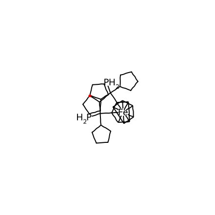 PC(C1CCCC1)(C1CCCC1)[C]12[CH]3[CH]4[CH]5[C]1(C(P)(C1CCCC1)C1CCCC1)[Fe]43521678[CH]2[CH]1[CH]6[CH]7[CH]28